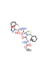 CC(C)[C@H](NC(=O)OC(C)(C)C)C(=O)N1C(c2ccccc2)SC[C@H]1C(=O)N[C@@H](Cc1ccccc1)C(O)c1ncco1